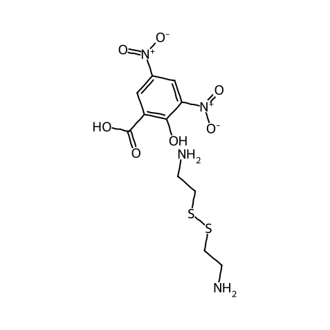 NCCSSCCN.O=C(O)c1cc([N+](=O)[O-])cc([N+](=O)[O-])c1O